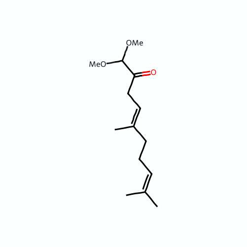 COC(OC)C(=O)C/C=C(\C)CCC=C(C)C